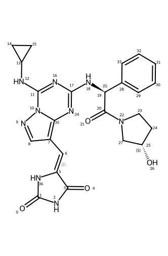 O=C1NC(=O)/C(=C/c2cnn3c(NC4CC4)nc(N[C@H](C(=O)N4CC[C@H](O)C4)c4ccccc4)nc23)N1